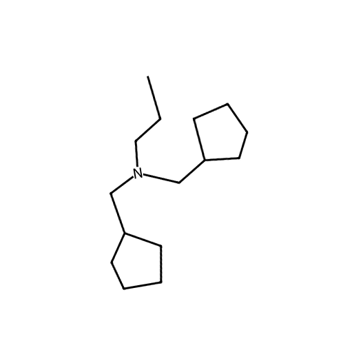 CCCN(CC1CCCC1)CC1CCCC1